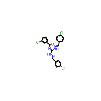 O=C(N=C(NN=Cc1ccc(Cl)cc1)NN=Cc1ccc(Cl)cc1)c1cccc(Cl)c1